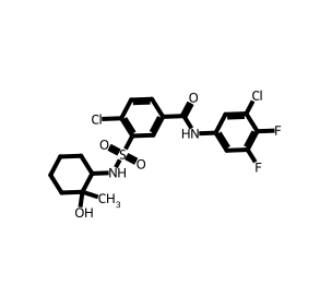 CC1(O)CCCCC1NS(=O)(=O)c1cc(C(=O)Nc2cc(F)c(F)c(Cl)c2)ccc1Cl